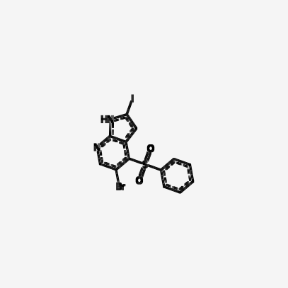 O=S(=O)(c1ccccc1)c1c(Br)cnc2[nH]c(I)cc12